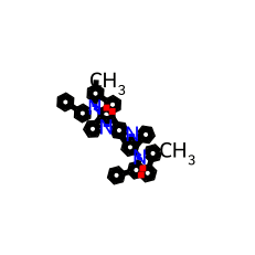 Cc1ccc(N(c2cccc(-c3ccccc3)c2)c2ccc3c4cc5c(cc4n4c6ccccc6c2c34)c2ccc(N(c3cccc(-c4ccccc4)c3)c3ccc(C)cc3-c3ccccc3)c3c4ccccc4n5c23)c(-c2ccccc2)c1